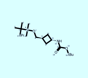 CCCC(C)(C)[Si](C)(C)OC[C@H]1C[C@H](NC(=O)OC(C)(C)C)C1